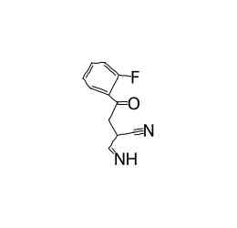 N#CC(C=N)CC(=O)c1ccccc1F